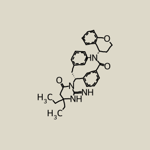 CCC1(CC)CC(=O)N([C@H](Cc2ccccc2)c2cccc(C(=O)N[C@H]3CCOc4ccccc43)c2)C(=N)N1